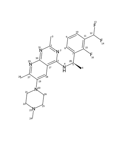 Cc1nc(N[C@H](C)c2cccc(C(F)F)c2F)c2cc(N3CCN(C)CC3)c(C)nc2n1